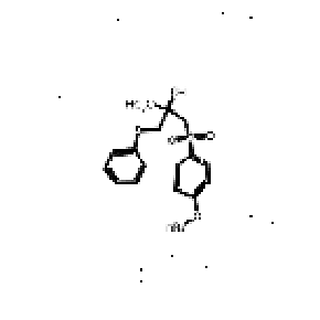 CCCCOc1ccc(S(=O)(=O)CC(O)(CSc2ccccc2)C(=O)O)cc1